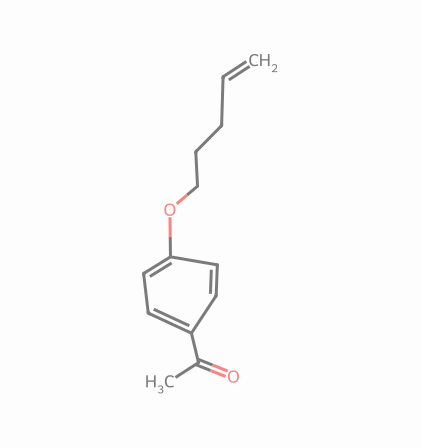 C=CCCCOc1ccc(C(C)=O)cc1